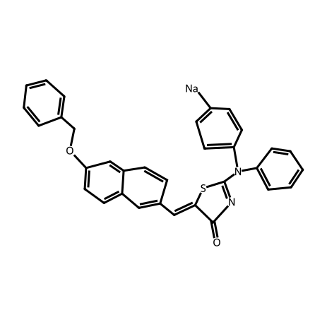 O=C1N=C(N(c2ccccc2)c2cc[c]([Na])cc2)S/C1=C\c1ccc2cc(OCc3ccccc3)ccc2c1